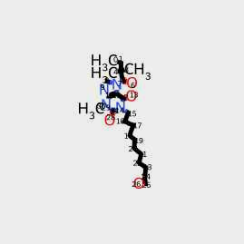 CCC(C)(C)C(=O)n1cnc2c1c(=O)n(CCCCCCCCCC1CO1)c(=O)n2C